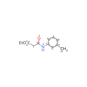 CCOC(=O)CC(=O)Nc1cccc(C)c1